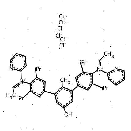 CC=[N+](c1ccccn1)c1c(C(C)C)cc(-c2cc(O)cc(-c3cc(C(C)C)c([N+](=CC)c4ccccn4)c(C(C)C)c3)c2C)cc1C(C)C.[Cl-].[Cl-].[Cl-].[Cl-].[Cu].[Cu]